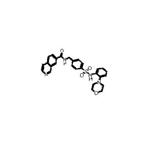 O=C(NCc1ccc(S(=O)(=O)Nc2ccccc2N2CCOCC2)cc1)c1ccc2ccncc2c1